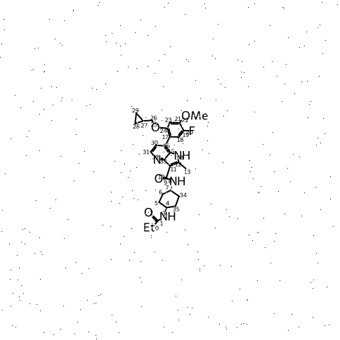 CCC(=O)N[C@H]1CC[C@H](NC(=O)c2c(C)[nH]c3c(-c4cc(F)c(OC)cc4OCC4CC4)ccnc23)CC1